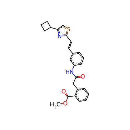 COC(=O)c1ccccc1CC(=O)Nc1cccc(/C=C/c2nc(C3CCC3)cs2)c1